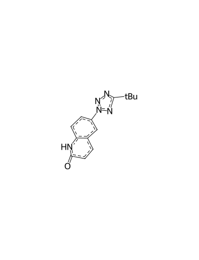 CC(C)(C)c1nnn(-c2ccc3[nH]c(=O)ccc3c2)n1